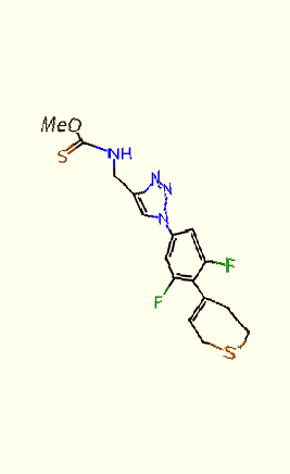 COC(=S)NCc1cn(-c2cc(F)c(C3=CCSCC3)c(F)c2)nn1